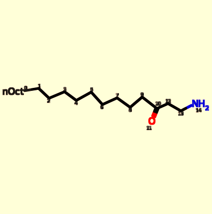 CCCCCCCCCCCCCCCCCC(=O)CCN